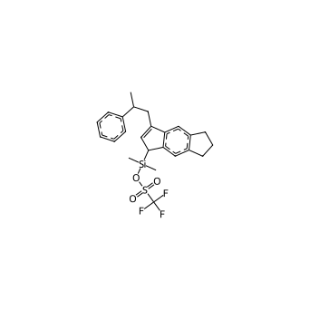 CC(CC1=CC([Si](C)(C)OS(=O)(=O)C(F)(F)F)c2cc3c(cc21)CCC3)c1ccccc1